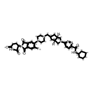 O=C1CCC(N2C(=O)c3cc(F)c(N4CCN(CC5C[C@@H]6CN(c7ccc(C(=O)NC8CCCCC8)nn7)C[C@@H]6C5)CC4)cc3C2=O)C(=O)N1